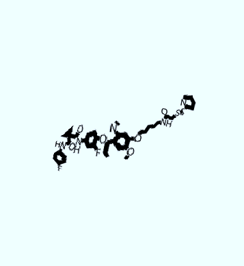 C=Nc1cc(OCCCCCNC(=O)CSSc2ccccn2)c(OC)cc1/C(=C\C)Oc1ccc(NC(=O)C2(C(=O)Nc3ccc(F)cc3)CC2)cc1F